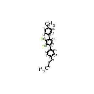 C=CCCc1ccc(-c2ccc(-c3ccc(C)cc3)c(F)c2F)cc1